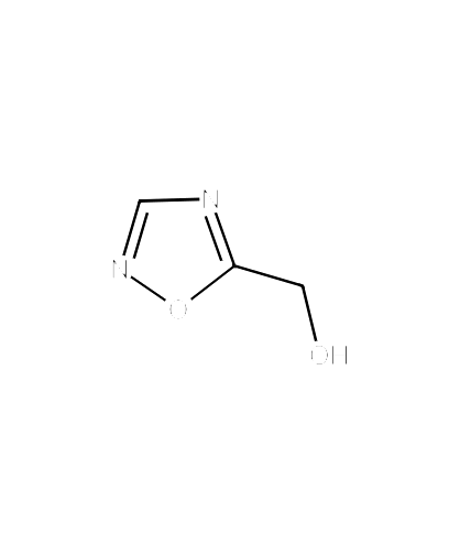 OCc1ncno1